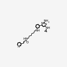 Nc1nc(NC2CC2)cc(-c2cccc(NCCCCCCNC(=O)/C=C/c3cccnc3)c2)n1